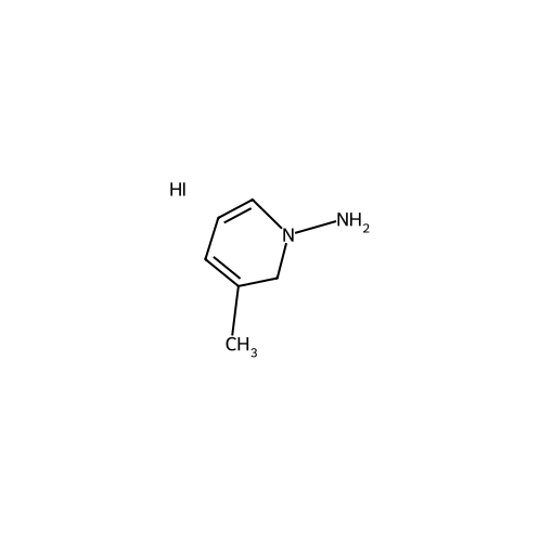 CC1=CC=CN(N)C1.I